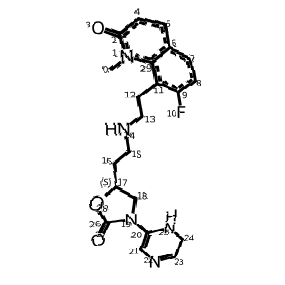 Cn1c(=O)ccc2ccc(F)c(CCNCC[C@H]3CN(C4=CN=CCN4)C(=O)O3)c21